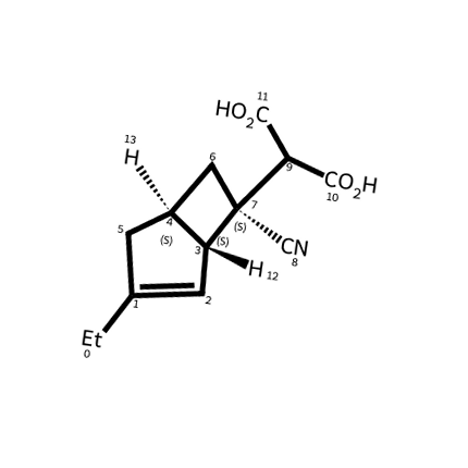 CCC1=C[C@@H]2[C@@H](C1)C[C@@]2(C#N)C(C(=O)O)C(=O)O